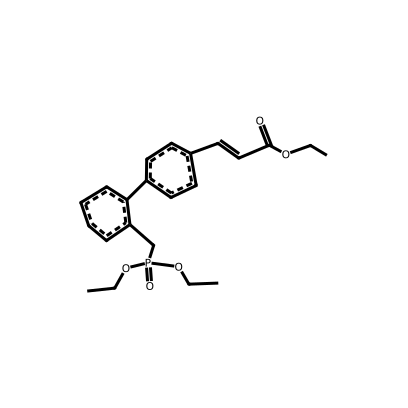 CCOC(=O)C=Cc1ccc(-c2ccccc2CP(=O)(OCC)OCC)cc1